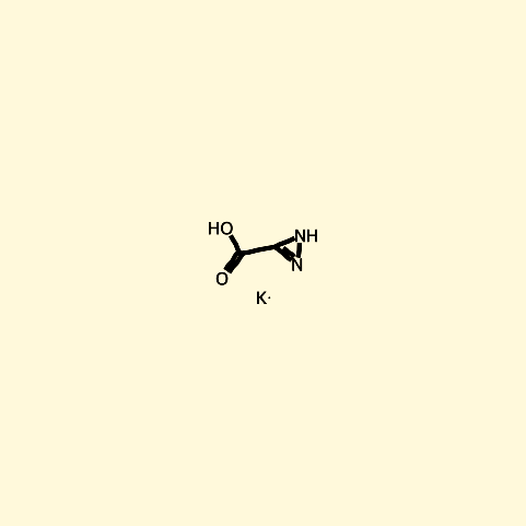 O=C(O)C1=NN1.[K]